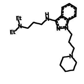 CCN(CC)CCCNc1nn(CCCN2CCCCC2)c2ccccc12